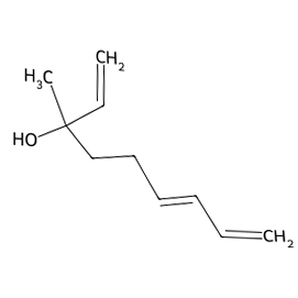 C=CC=CCCC(C)(O)C=C